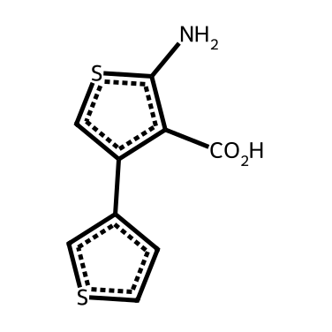 Nc1scc(-c2ccsc2)c1C(=O)O